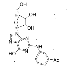 CC(=O)c1cccc(Nc2nc(O)c3ncn([C@@H]4O[C@H](CO)C(O)C4O)c3n2)c1